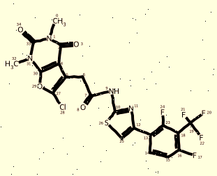 Cn1c(=O)c2c(CC(=O)Nc3nc(-c4ccc(F)c(C(F)(F)F)c4F)cs3)c(Cl)oc2n(C)c1=O